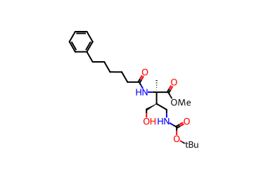 COC(=O)[C@](C)(NC(=O)CCCCCc1ccccc1)[C@H](CO)CNC(=O)OC(C)(C)C